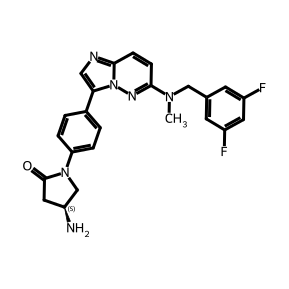 CN(Cc1cc(F)cc(F)c1)c1ccc2ncc(-c3ccc(N4C[C@@H](N)CC4=O)cc3)n2n1